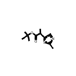 Cc1ncc(C(C)C(=O)OC(C)(C)C)s1